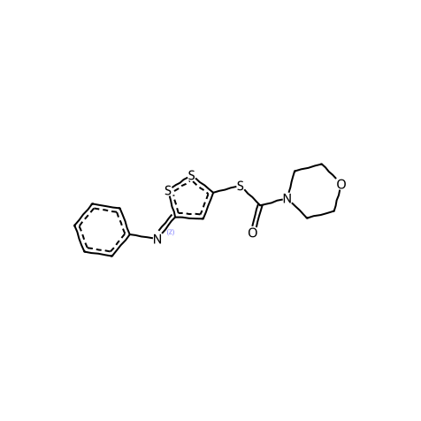 O=C(Sc1c/c(=N/c2ccccc2)ss1)N1CCOCC1